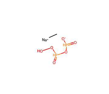 CC.O=[PH]([O-])O[PH](=O)OO.[Na+]